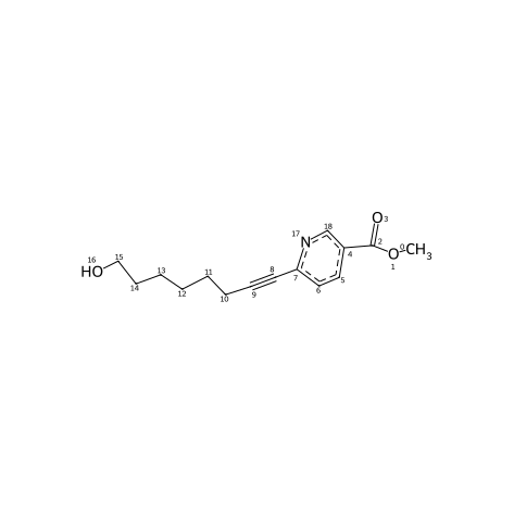 COC(=O)c1ccc(C#CCCCCCCO)nc1